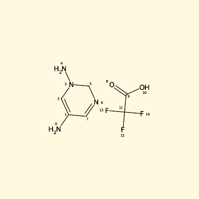 NC1=CN(N)CN=C1.O=C(O)C(F)(F)F